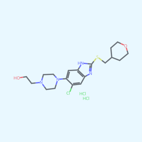 Cl.Cl.OCCN1CCN(c2cc3[nH]c(SCC4CCOCC4)nc3cc2Cl)CC1